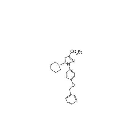 CCOC(=O)c1cc(C2CCCCC2)n(-c2ccc(OCc3ccccc3)cc2)n1